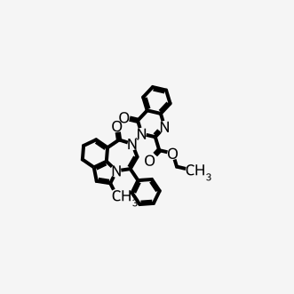 CCOC(=O)c1nc2ccccc2c(=O)n1N1C=C(c2ccccc2)n2c(C)cc3c2C(=CCC3)C1=O